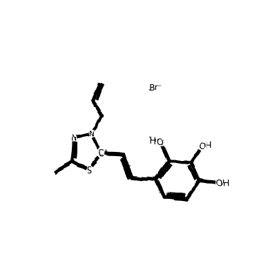 C=CCn1nc(C)s[c+]1C=Cc1ccc(O)c(O)c1O.[Br-]